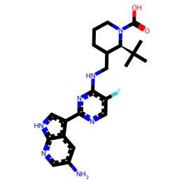 CC(C)(C)[C@H]1C(CNc2nc(-c3c[nH]c4ncc(N)cc34)ncc2F)CCCN1C(=O)O